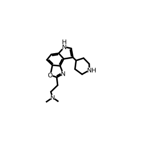 CN(C)CCc1nc2c(ccc3[nH]cc(C4CCNCC4)c32)o1